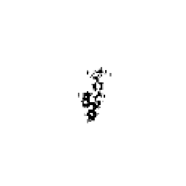 CC(C)(C)OC(=O)N1CCN(C(=O)Cn2cnc(-c3ccc(F)cc3)c2-c2ccnc3[nH]ccc23)CC1